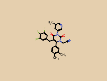 Cc1cncc(-n2c(=O)c(Cc3cc(F)c(F)c(F)c3)c(-c3ccc(C)c(C)c3)n(CC#N)c2=O)c1